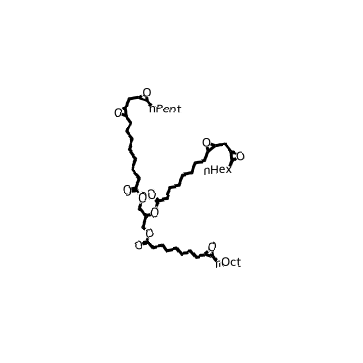 CCCCCCCCC1OC1CCCCCCCC(=O)OCC(COC(=O)CCCCCCCC1OC1CC1OC1CCCCC)OC(=O)CCCCCCCC1OC1CC1OC1CCCCCC